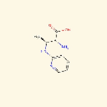 C[C@H](Nc1ccccn1)C(N)C(=O)O